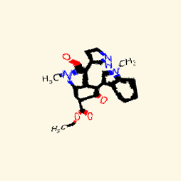 CCOC(=O)C1C=C2C(=C(C3=CCNC3)C(=O)N2C)C(c2cn(C)c3ccccc23)C1=O